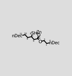 CCCCCCCCCCCCOC(=O)CC(S)CCCCCCCCCCCC.[Zn]